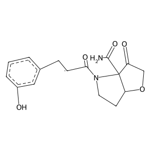 NC(=O)C12C(=O)COC1CCN2C(=O)[CH]Cc1cccc(O)c1